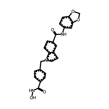 O=C(NO)c1ccc(Cn2ccc3cc(C(=O)Nc4ccc5c(c4)OCO5)ccc32)cc1